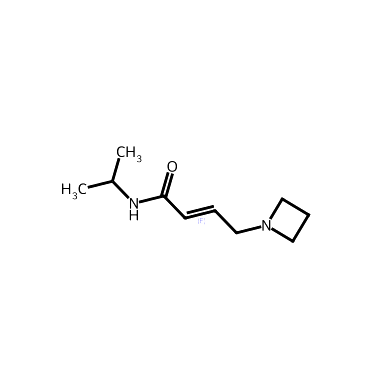 CC(C)NC(=O)/C=C/CN1CCC1